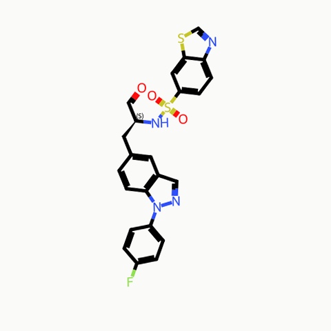 O=C[C@H](Cc1ccc2c(cnn2-c2ccc(F)cc2)c1)NS(=O)(=O)c1ccc2ncsc2c1